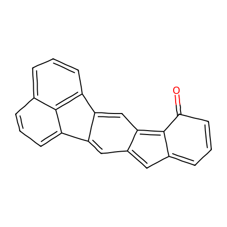 O=C1C=CC=c2cc3cc4c(cc3c21)c1cccc2cccc4c21